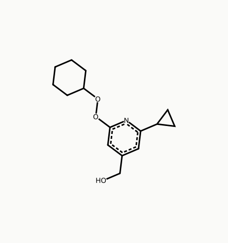 OCc1cc(OOC2CCCCC2)nc(C2CC2)c1